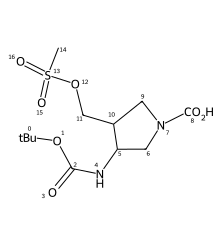 CC(C)(C)OC(=O)NC1CN(C(=O)O)CC1COS(C)(=O)=O